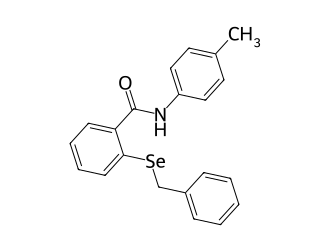 Cc1ccc(NC(=O)c2ccccc2[Se]Cc2ccccc2)cc1